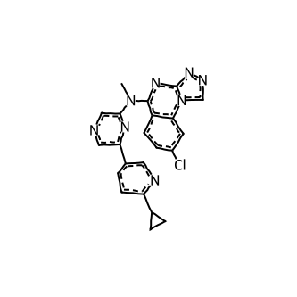 CN(c1cncc(-c2ccc(C3CC3)nc2)n1)c1nc2nncn2c2cc(Cl)ccc12